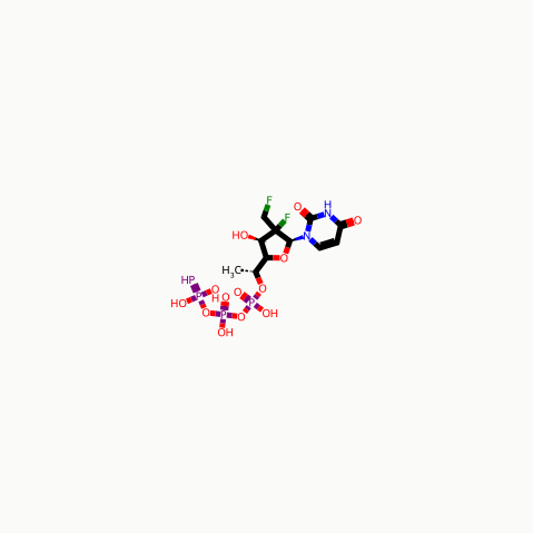 C[C@@H](OP(=O)(O)OP(=O)(O)OP(O)(O)=P)C1O[C@H](n2ccc(=O)[nH]c2=O)C(F)(CF)[C@@H]1O